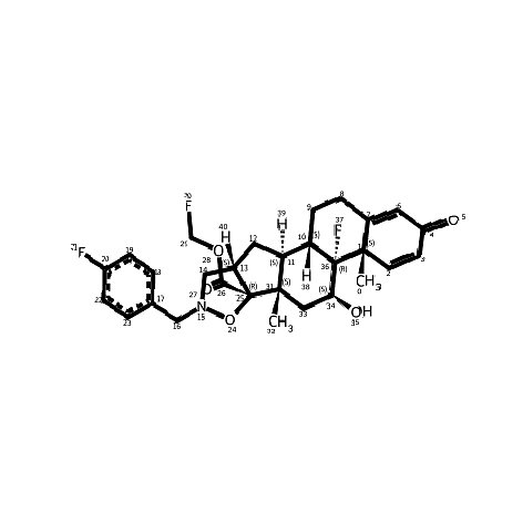 C[C@]12C=CC(=O)C=C1CC[C@H]1[C@@H]3C[C@H]4CN(Cc5ccc(F)cc5)O[C@@]4(C(=O)OCF)[C@@]3(C)C[C@H](O)[C@@]12F